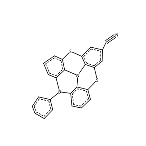 N#Cc1cc2c3c(c1)Sc1cccc4c1N3c1c(cccc1B4c1ccccc1)S2